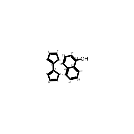 C1=CCC(C2=CC=CC2)=C1.Oc1cccc2ccccc12